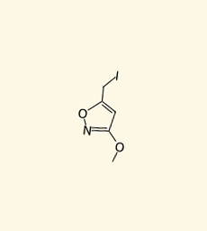 COc1cc(CI)on1